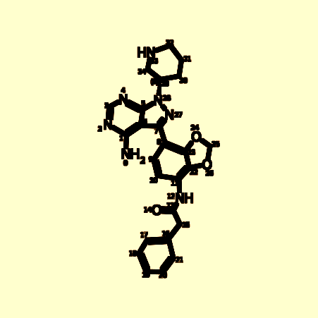 Nc1ncnc2c1c(-c1ccc(NC(=O)Cc3ccccc3)c3c1OCO3)nn2[C@@H]1CCCNC1